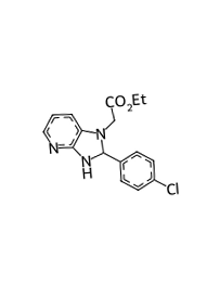 CCOC(=O)CN1c2cccnc2NC1c1ccc(Cl)cc1